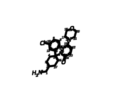 NCC1CCC(c2cccc(Cl)c2)(n2nc(N3CCOCC3)ccc2=O)CC1